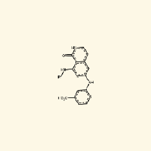 CC(C)Nc1nc(Nc2cc(C(=O)O)ccn2)cc2cc[nH]c(=O)c12